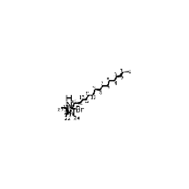 CCCCCCCCCCCCCCCCC1(Br)NC(C)=C(C)N1C